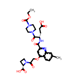 CCOC(=O)N1CCN(C(=O)[C@H](CCC(=O)O)NC(=O)c2cc(OCC(=O)N3CC[C@H]3C(=O)O)c3ccc(C)cc3n2)CC1